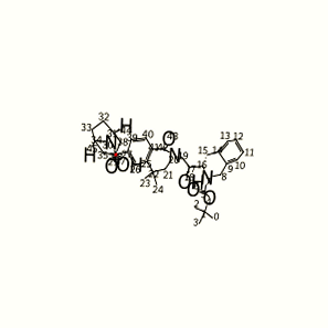 CC(C)(C)OC(=O)N1Cc2ccccc2C[C@H]1[C@@H](O)CN1CC(C)(C)c2cc(C(=O)N3[C@@H]4CC[C@H]3CC(O)C4)ccc2C1=O